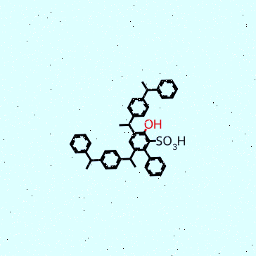 CC(c1ccccc1)c1ccc(C(C)c2cc(C(C)c3ccc(C(C)c4ccccc4)cc3)c(-c3ccccc3)c(S(=O)(=O)O)c2O)cc1